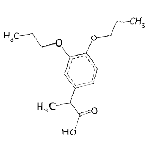 CCCOc1ccc(C(C)C(=O)O)cc1OCCC